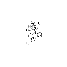 CCc1ccc2c(=O)n(NS(C)(=O)=O)c(=O)n(-c3ccnn3C)c2c1